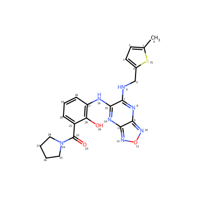 Cc1ccc(CNc2nc3nonc3nc2Nc2cccc(C(=O)N3CCCC3)c2O)s1